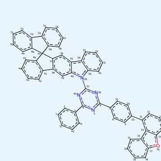 c1ccc(-c2nc(-c3ccc(-c4cccc5oc6ccccc6c45)cc3)nc(-n3c4ccccc4c4cc5c(cc43)-c3ccccc3C53c4ccccc4-c4ccccc43)n2)cc1